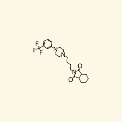 O=C1C2CCCCC2C(=O)N1CCCCN1CCN(c2cccc(C(F)(F)F)c2)CC1